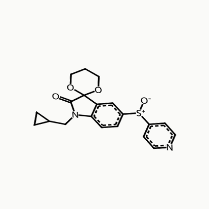 O=C1N(CC2CC2)c2ccc([S+]([O-])c3ccncc3)cc2C12OCCCO2